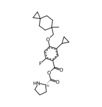 CC1(COc2cc(F)c(C(=O)OC(=O)[C@@H]3CCCN3)cc2C2CC2)CCC2(CC1)CC2